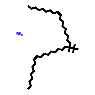 CCCCCCCC/C=C\CCCCCCCCC(C)(CCCCCCCC/C=C\CCCCCCCC)C(C)(C)C.N